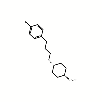 CCCCC[C@H]1CC[C@H](CCCCc2ccc(I)cc2)CC1